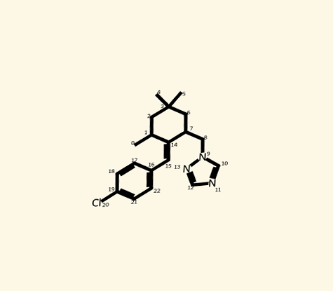 CC1CC(C)(C)CC(Cn2cncn2)C1=Cc1ccc(Cl)cc1